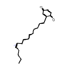 CCCC/C=C\CCCCCCCCCC1=CC(=O)C=CC1=O